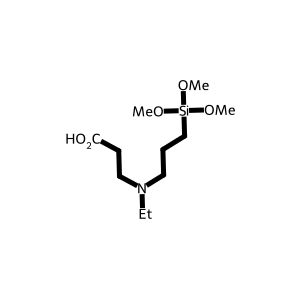 CCN(CCC[Si](OC)(OC)OC)CCC(=O)O